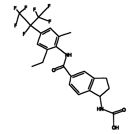 CCc1cc(C(F)(C(F)(F)F)C(F)(F)F)cc(C)c1NC(=O)c1ccc2c(c1)CCC2NC(=O)O